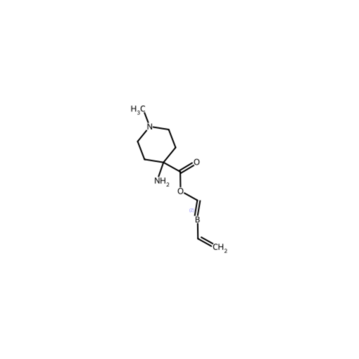 C=C/B=C\OC(=O)C1(N)CCN(C)CC1